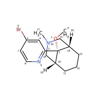 CO[C@@]1(c2cc(Br)ccn2)[C@@H]2CCC[C@H]1CN(C)C2